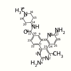 Cc1nc(N)nc(-c2ccc(C(=O)NC3CCN(C)CC3)cc2)c1-c1ccc(N)nc1